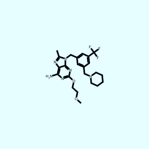 COCCOc1nc(N)c2nc(C)n(Cc3cc(CN4CCCCC4)cc(C(F)(F)F)c3)c2n1